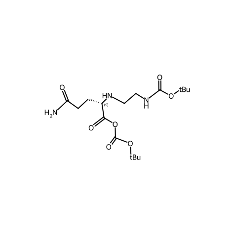 CC(C)(C)OC(=O)NCCN[C@@H](CCC(N)=O)C(=O)OC(=O)OC(C)(C)C